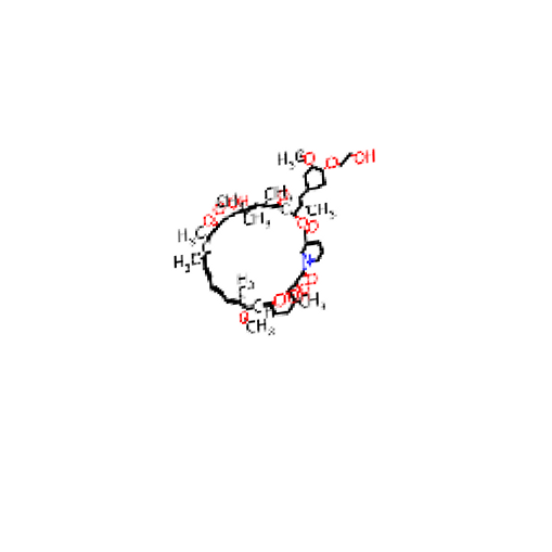 CO[C@H]1C[C@@H]2CC[C@@H](C)[C@@](O)(O2)C(=O)C(=O)N2CCCC(C2)C(=O)O[C@H]([C@H](C)CC2CC[C@@H](OCCO)[C@H](OC)C2)CC(=O)[C@H](C)/C=C(\C)[C@@H](O)[C@@H](OC)C(=O)[C@H](C)C[C@H](C)/C=C/C=C/C=C/1C